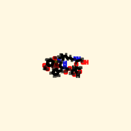 CC(C)(CCCCNC(=O)CO)CN(C[C@@H](O)[C@H](Cc1ccccc1)NC(=O)O[C@H]1CO[C@H]2OCC[C@H]21)S(=O)(=O)c1ccc2c(c1)OCO2